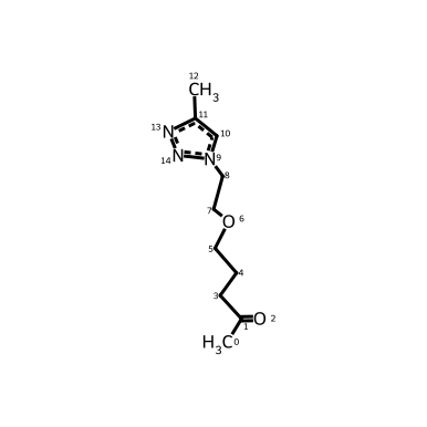 CC(=O)CCCOCCn1cc(C)nn1